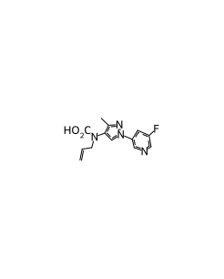 C=CCN(C(=O)O)c1cn(-c2cncc(F)c2)nc1C